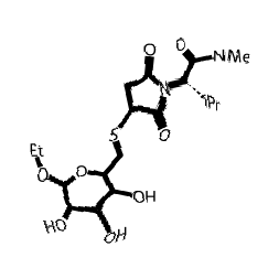 CCOC1OC(CSC2CC(=O)N([C@H](C(=O)NC)C(C)C)C2=O)C(O)C(O)C1O